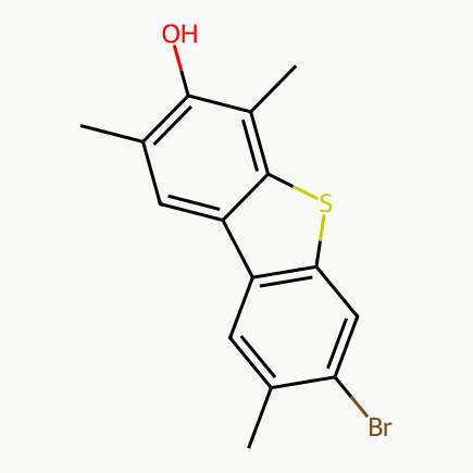 Cc1cc2c(cc1Br)sc1c(C)c(O)c(C)cc12